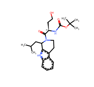 CC(C)CC1c2[nH]c3ccccc3c2CCN1C(=O)[C@@H](CCO)NC(=O)OC(C)(C)C